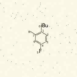 CCC(C)c1ccc(F)cc1C